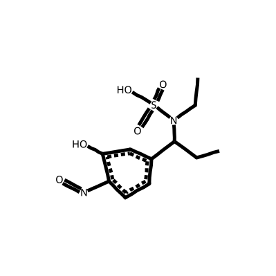 CCC(c1ccc(N=O)c(O)c1)N(CC)S(=O)(=O)O